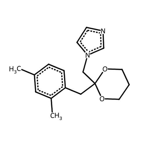 Cc1ccc(CC2(Cn3ccnc3)OCCCO2)c(C)c1